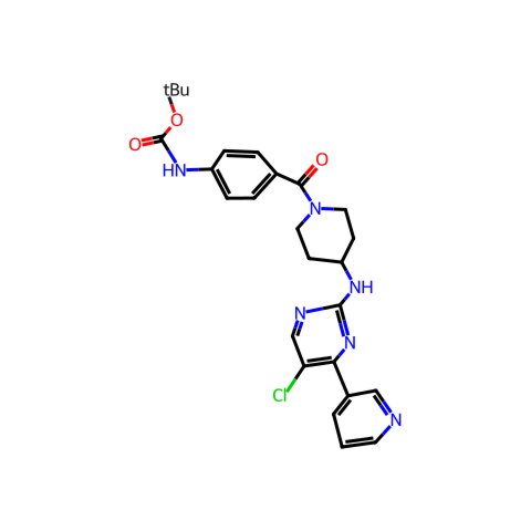 CC(C)(C)OC(=O)Nc1ccc(C(=O)N2CCC(Nc3ncc(Cl)c(-c4cccnc4)n3)CC2)cc1